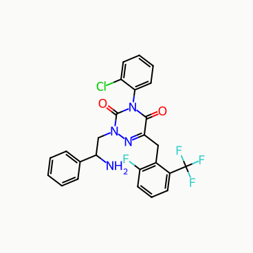 NC(Cn1nc(Cc2c(F)cccc2C(F)(F)F)c(=O)n(-c2ccccc2Cl)c1=O)c1ccccc1